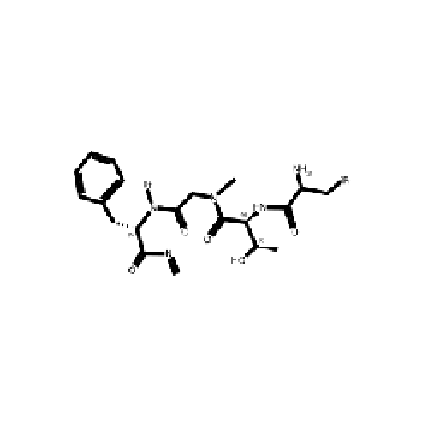 C=NC(=O)[C@H](Cc1ccccc1)N(CC)C(=O)CN(C)C(=O)[C@@H](NC(=O)C(N)CC(C)C)[C@@H](C)O